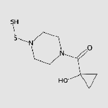 O=C(N1CCN(SS)CC1)C1(O)CC1